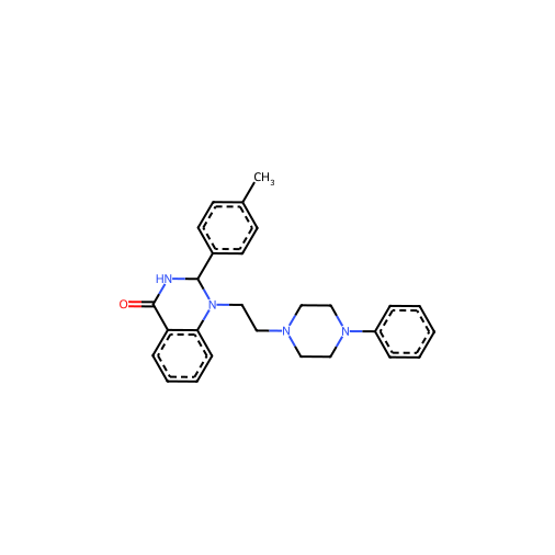 Cc1ccc(C2NC(=O)c3ccccc3N2CCN2CCN(c3ccccc3)CC2)cc1